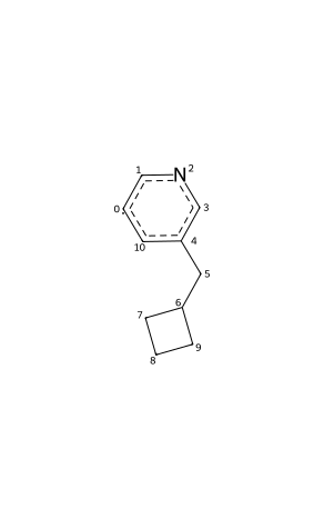 [c]1cncc(CC2CCC2)c1